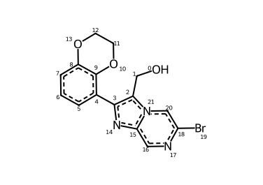 OCc1c(-c2cccc3c2OCCO3)nc2cnc(Br)cn12